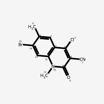 Cc1cc2c(Cl)c(C#N)c(=O)n(C)c2cc1Br